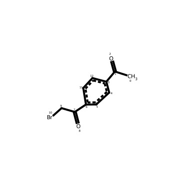 CC(=O)c1ccc(C(=O)CBr)cc1